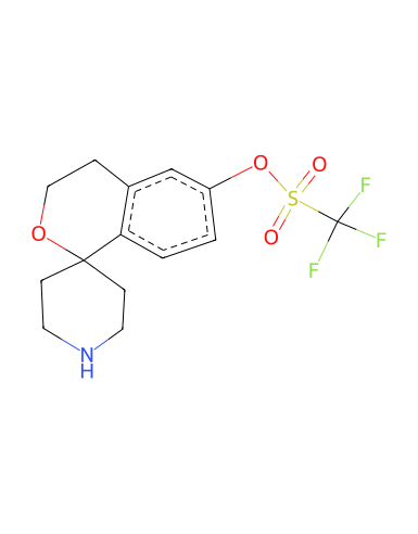 O=S(=O)(Oc1ccc2c(c1)CCOC21CCNCC1)C(F)(F)F